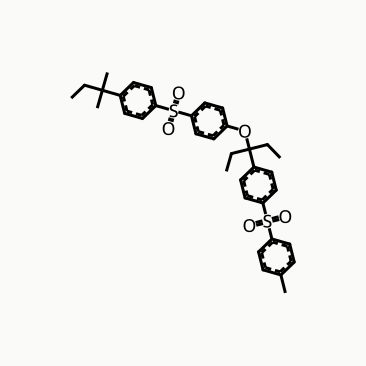 CCC(C)(C)c1ccc(S(=O)(=O)c2ccc(OC(CC)(CC)c3ccc(S(=O)(=O)c4ccc(C)cc4)cc3)cc2)cc1